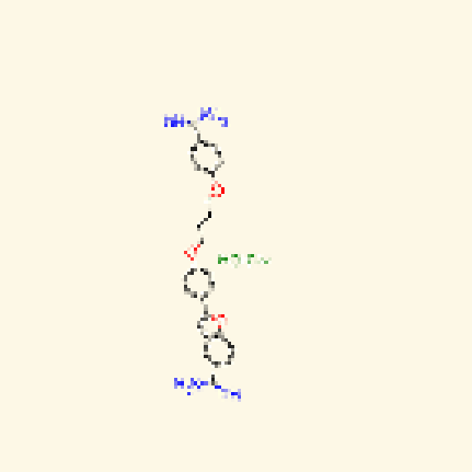 Cl.Cl.N=C(N)c1ccc(OCCCCOc2ccc(-c3cc4cc(C(=N)N)ccc4o3)cc2)cc1